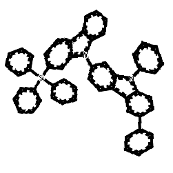 c1ccc(-c2ccc3c(c2)c2ccc(-n4c5ccccc5c5ccc([Si](c6ccccc6)(c6ccccc6)c6ccccc6)cc54)cc2n3-c2ccccc2)cc1